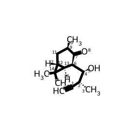 C#C[C@@H](C)[C@@H](O)[C@@H]1C(=O)[C@H](C)C[C@@H]2[C@@H]1C2(C)C